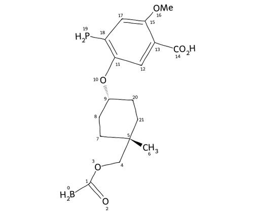 BC(=O)OC[C@]1(C)CC[C@H](Oc2cc(C(=O)O)c(OC)cc2P)CC1